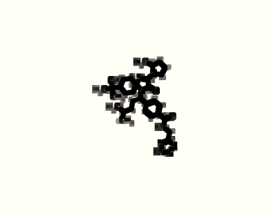 CC(C)CC[C@H](c1ccc(C(=O)NCc2nn[nH]n2)cc1)N1C(=O)C(N2CCCC2C)=NC12CCC(C(C)(C)C)CC2